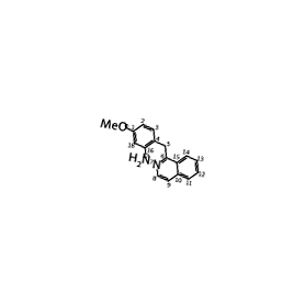 COc1ccc(Cc2nccc3ccccc23)c(N)c1